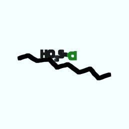 CCCCCCCCCC.O=S(=O)(O)Cl